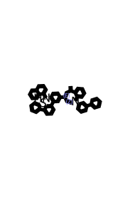 C=C1/C=C(c2ccc(Nc3cccc4ccccc34)c(-c3cccc4c3sc3ccccc34)c2)\C=C/N(c2cccc(-c3ccccc3)c2)c2ccccc21